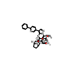 CS(=O)(=O)c1c(C2CC3CC[C@@H](C2)N3C(=O)c2ccnc(N)n2)nc2c(-c3ccc(-c4ccccc4)nc3)cnn2c1N